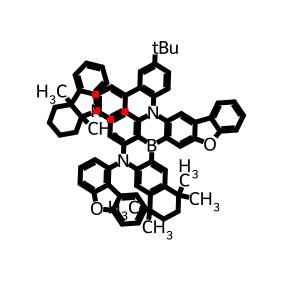 CC(C)(C)c1ccc(N2c3cc4c(cc3B3c5cc6c(cc5N(c5cccc7oc8ccccc8c57)c5cc(N7c8ccccc8C8(C)CCCCC78C)cc2c53)C(C)(C)CCC6(C)C)oc2ccccc24)c(-c2ccccc2)c1